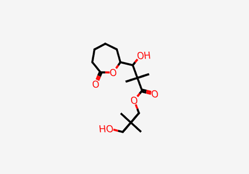 CC(C)(CO)COC(=O)C(C)(C)C(O)C1CCCCC(=O)O1